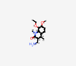 CCOc1c(OC)ccc2c(C)c(CN)c(=O)n(C)c12